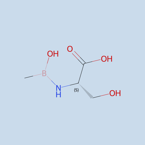 CB(O)N[C@@H](CO)C(=O)O